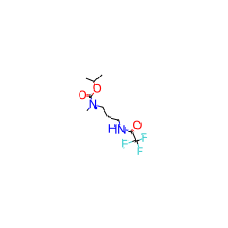 CC(C)OC(=O)N(C)CCCNC(=O)C(F)(F)F